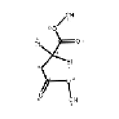 CCC(CC)(CC(=O)OC#N)C(=O)OC#N